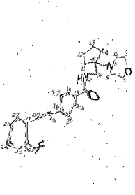 O=C(NCC1(N2CCOCC2)CCCC1)c1ccc(C#Cc2ccccc2F)cc1